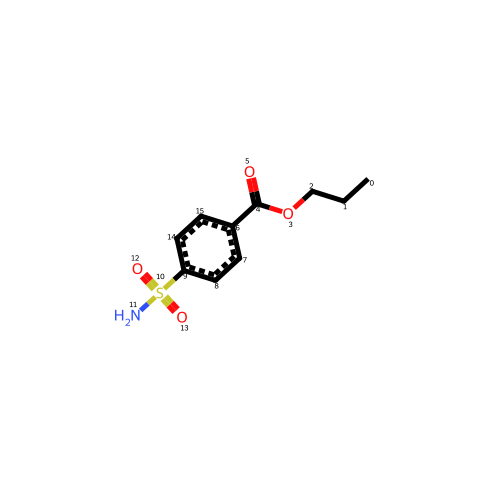 CCCOC(=O)c1ccc(S(N)(=O)=O)cc1